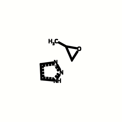 CC1CO1.c1c[nH]nn1